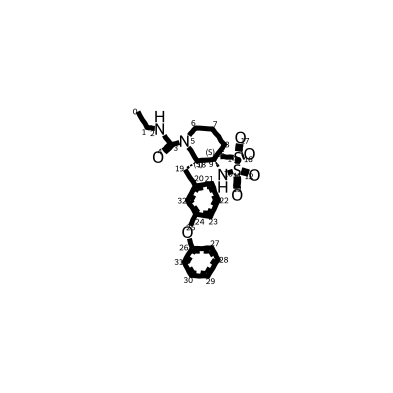 CCNC(=O)N1CCC[C@H](NS(=O)(=O)S(C)(=O)=O)[C@@H]1Cc1cccc(Oc2ccccc2)c1